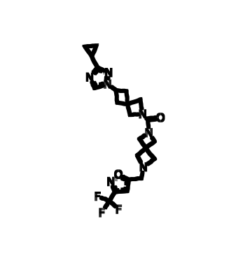 O=C(N1CC2(CC(n3cnc(C4CC4)n3)C2)C1)N1CC2(CN(Cc3cc(C(F)(F)F)no3)C2)C1